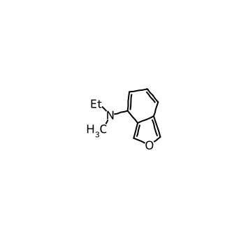 CCN(C)c1cccc2cocc12